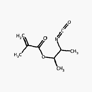 C=C(C)C(=O)OC(C)C(C)N=C=O